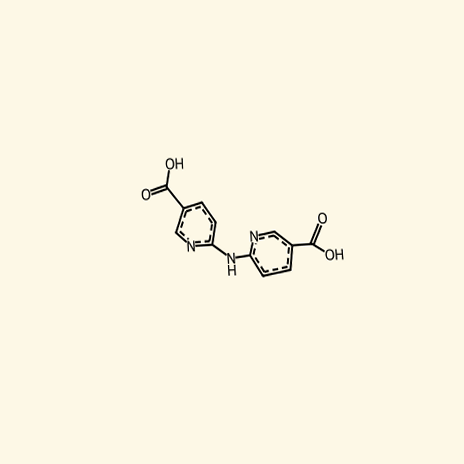 O=C(O)c1ccc(Nc2ccc(C(=O)O)cn2)nc1